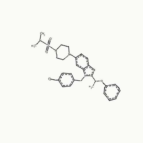 CC(Oc1ccccc1)c1nc2ccc(N3CCN(S(=O)(=O)N(C)C)CC3)cc2n1Cc1ccc(Cl)cc1